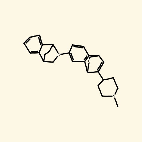 CN1CCC(C2=CC3CCC2c2cc(N4CC5CCC4c4ccccc45)ccc23)CC1